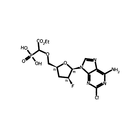 CCOC(=O)C(OC[C@@H]1C[C@H](F)[C@H](n2cnc3c(N)nc(Cl)nc32)O1)P(=O)(O)O